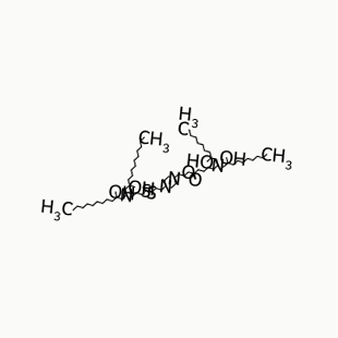 CCCCCCCCCCC(O)CN(CCCSSCCN1CCN(CCOC(=O)CCCCN(CC(O)CCCCCCCC)CC(O)CCCCCCCC)CC1)CC(O)CCCCCCCCCC